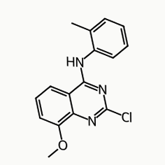 COc1cccc2c(Nc3ccccc3C)nc(Cl)nc12